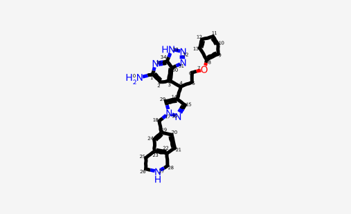 Nc1cc(C(CCOc2ccccc2)c2cnn(Cc3ccc4c(c3)CCNC4)c2)c2nn[nH]c2n1